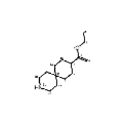 C=C(OCC)C1CCC2(CCNCC2)CC1